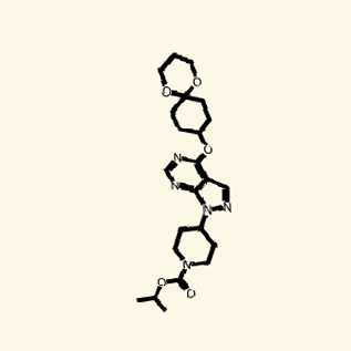 CC(C)OC(=O)N1CCC(n2ncc3c(OC4CCC5(CC4)OCCCO5)ncnc32)CC1